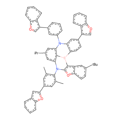 Cc1cc(-c2cc3ccccc3o2)cc(C)c1N1c2cc(C(C)C)cc3c2B(c2ccc(-c4coc5ccccc45)cc2N3c2cccc(-c3coc4ccccc34)c2)c2c1oc1ccc(C(C)(C)C)cc21